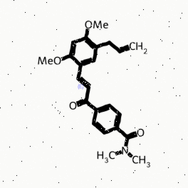 C=CCc1cc(/C=C/C(=O)c2ccc(C(=O)N(C)C)cc2)c(OC)cc1OC